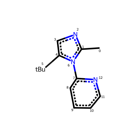 Cc1ncc(C(C)(C)C)n1-c1ccccn1